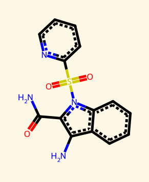 NC(=O)c1c(N)c2ccccc2n1S(=O)(=O)c1ccccn1